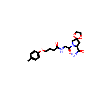 Cc1ccc(OCCCC(=O)NCC(=O)N2CC3(CC2C(N)=O)OCCO3)cc1